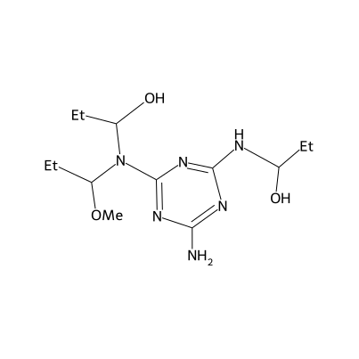 CCC(O)Nc1nc(N)nc(N(C(O)CC)C(CC)OC)n1